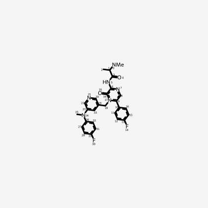 CNC(C)C(=O)Nc1ncc(-c2ccc(F)cc2)n(Cc2cncc(N(C)c3ccc(F)cc3)c2)c1=O